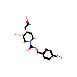 Cc1ccc(COC(=O)N2CC[C@H](CC=O)[C@@H](F)C2)cc1